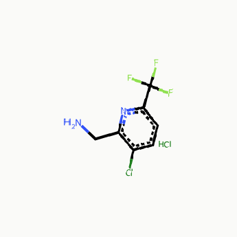 Cl.NCc1nc(C(F)(F)F)ccc1Cl